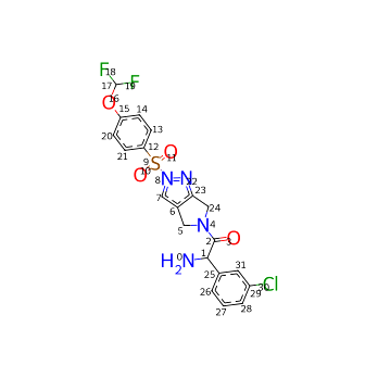 NC(C(=O)N1Cc2cn(S(=O)(=O)c3ccc(OC(F)F)cc3)nc2C1)c1cccc(Cl)c1